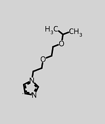 CC(C)OCCOCCn1c[c]nc1